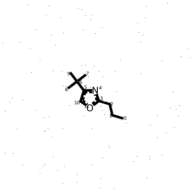 CCCc1nc(C(C)(C)C)co1